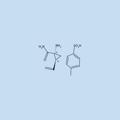 C=C[C@@H]1C[C@]1(N)C(N)=O.Cc1ccc(S(=O)(=O)O)cc1